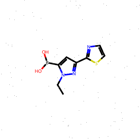 CCn1nc(-c2nccs2)cc1B(O)O